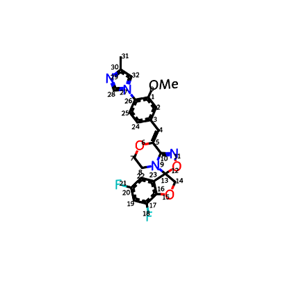 COc1cc(/C=C2\OCCN3C2=NOC32COc3c(F)cc(F)cc32)ccc1-n1cnc(C)c1